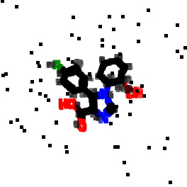 O=C(O)c1ncn([C@H]2CCCC[C@@H]2O)c1-c1ccc(F)cc1